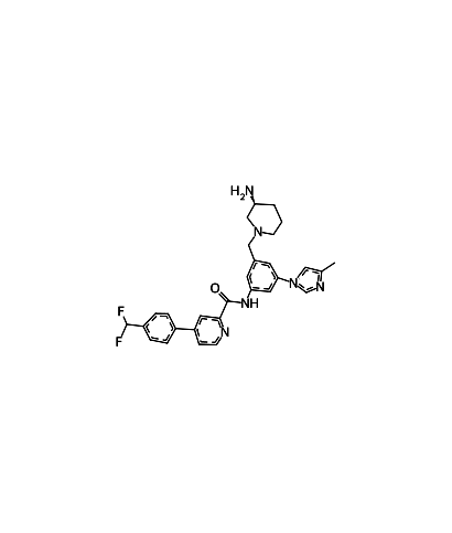 Cc1cn(-c2cc(CN3CCC[C@H](N)C3)cc(NC(=O)c3cc(-c4ccc(C(F)F)cc4)ccn3)c2)cn1